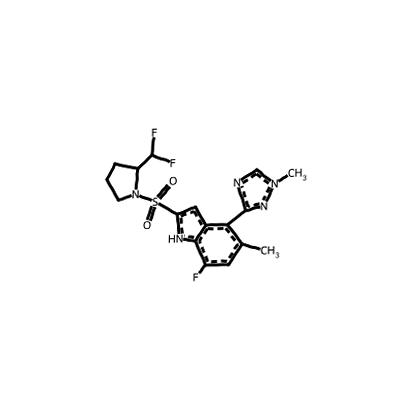 Cc1cc(F)c2[nH]c(S(=O)(=O)N3CCCC3C(F)F)cc2c1-c1ncn(C)n1